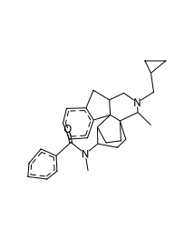 CC1N(CC2CC2)CC2Cc3ccccc3C23C2CCC13CCC2N(C)C(=O)c1ccccc1